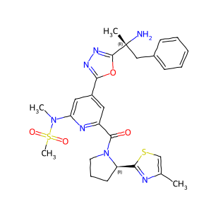 Cc1csc([C@H]2CCCN2C(=O)c2cc(-c3nnc([C@](C)(N)Cc4ccccc4)o3)cc(N(C)S(C)(=O)=O)n2)n1